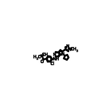 CN(C)C(=O)c1ccc(Nc2cc3c(cn2)cc(-c2cnn(C)c2)n3C2CCCC2)c(Cl)c1